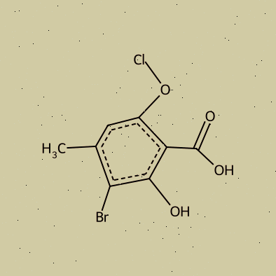 Cc1cc(OCl)c(C(=O)O)c(O)c1Br